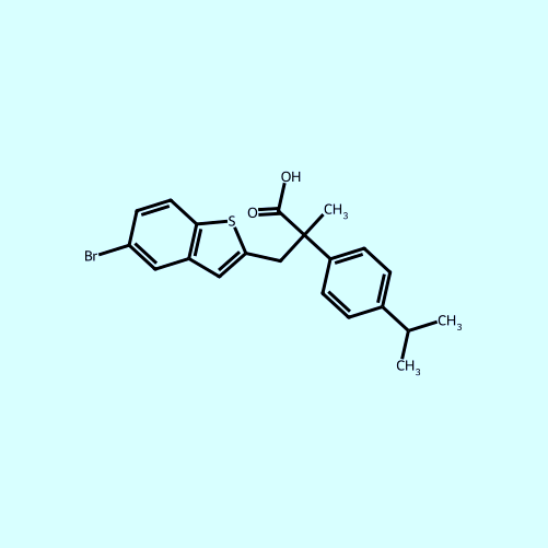 CC(C)c1ccc(C(C)(Cc2cc3cc(Br)ccc3s2)C(=O)O)cc1